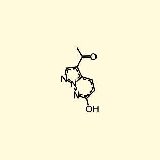 CC(=O)c1cnn2nc(O)ccc12